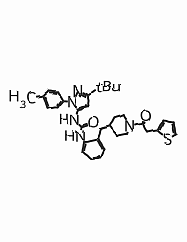 Cc1ccc(-n2nc(C(C)(C)C)cc2NC(=O)Nc2ccccc2CC2CCN(C(=O)Cc3cccs3)CC2)cc1